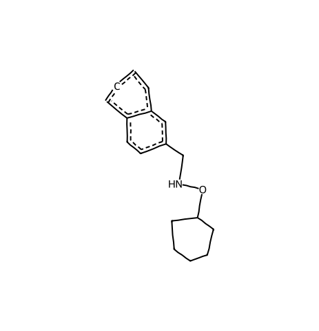 c1ccc2cc(CNOC3CCCCC3)ccc2c1